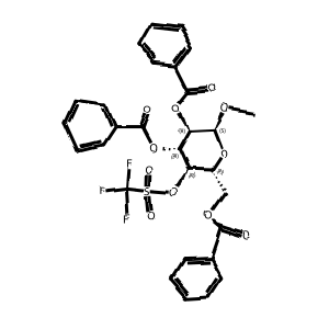 CO[C@H]1O[C@H](COC(=O)c2ccccc2)[C@@H](OS(=O)(=O)C(F)(F)F)[C@H](OC(=O)c2ccccc2)[C@H]1OC(=O)c1ccccc1